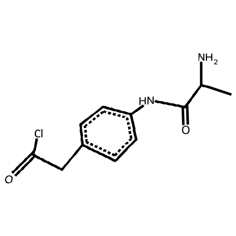 CC(N)C(=O)Nc1ccc(CC(=O)Cl)cc1